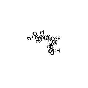 Cc1c(F)cc2nc3c(c4c2c1CC[C@@H]4NC(=O)COCNC(=O)CNC(=O)[C@@H](C)Cc1ccccc1)Cn1c-3cc2c(c1=O)COC(=O)[C@H]2O